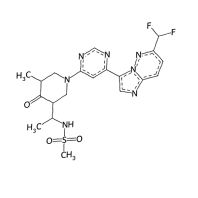 CC1CN(c2cc(-c3cnc4ccc(C(F)F)nn34)ncn2)CC(C(C)NS(C)(=O)=O)C1=O